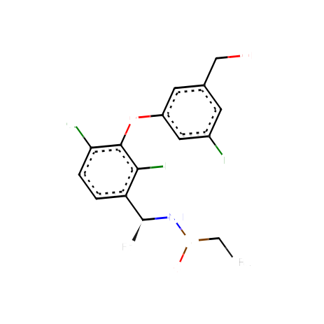 CC[C@H](N[S+]([O-])CC(C)(C)C)c1ccc(Cl)c(Oc2cc(F)cc(CO)c2)c1F